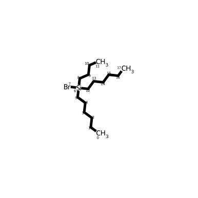 CCCCCC[Si](Br)(CCCC)CCCCCC